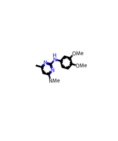 CNc1cc(C)nc(Nc2ccc(OC)c(OC)c2)n1